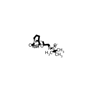 CC(C)(C)[S@+]([O-])/N=C/CC[C@@]1(C(=O)O)CCCN1C(=O)O